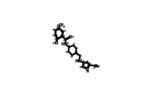 CC(C)(C)c1cc(NCC2CCC(NC(=O)c3cc(C(F)(F)F)ccc3Cl)CC2)no1